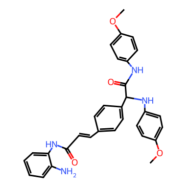 COc1ccc(NC(=O)C(Nc2ccc(OC)cc2)c2ccc(C=CC(=O)Nc3ccccc3N)cc2)cc1